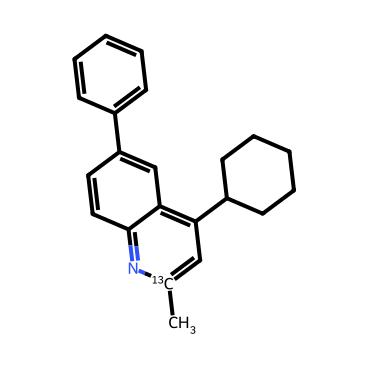 C[13c]1cc(C2CCCCC2)c2cc(-c3ccccc3)ccc2n1